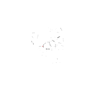 CSC(SC)C(=O)CC1C(C(C)OC(=O)OCc2ccccc2[N+](=O)[O-])C(=O)N1CP(C(=O)OCc1ccccc1[N+](=O)[O-])(c1ccccc1)(c1ccccc1)c1ccccc1